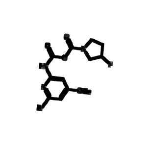 COc1cc(Br)nc(NC(=O)OC(=O)N2CCC(F)C2)c1